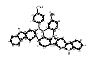 CC(C)(C)c1ccc(N2B3c4cc(C(C)(C)C)ccc4-n4c5cc6c(cc5c5ccc(c3c54)-c3cc4c(cc32)sc2ccccc24)oc2ccccc26)cc1